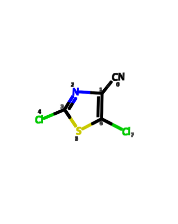 N#Cc1nc(Cl)sc1Cl